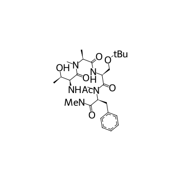 CNC(=O)[C@H](Cc1ccccc1)N(C)C(=O)[C@H](COC(C)(C)C)NC(=O)[C@H](C)N(C)C(=O)[C@@H](NC(C)=O)[C@@H](C)O